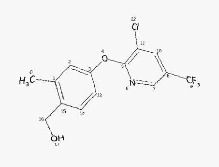 Cc1cc(Oc2ncc(C(F)(F)F)cc2Cl)ccc1CO